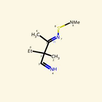 CCC(C)(C=N)/C(C)=N/SNC